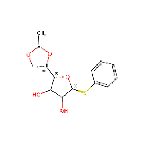 CC1OC[C@@H]([C@@H]2O[C@@H](Sc3ccccc3)C(O)C2O)O1